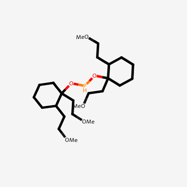 COCCC1CCCCC1(CCOC)OPOC1(CCOC)CCCCC1CCOC